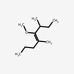 CCCC(C)=C(OC)C(C)CC